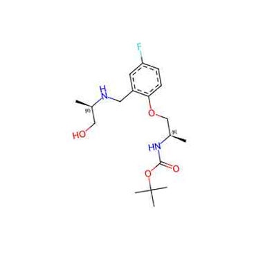 C[C@H](CO)NCc1cc(F)ccc1OC[C@@H](C)NC(=O)OC(C)(C)C